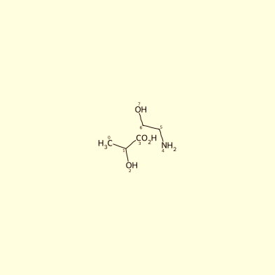 CC(O)C(=O)O.NCCO